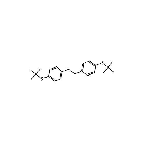 CC(C)(C)Sc1ccc(CCc2ccc(SC(C)(C)C)cc2)cc1